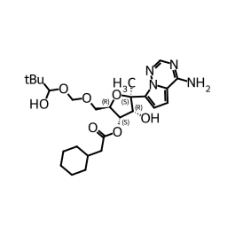 CC(C)(C)C(O)OCOC[C@H]1O[C@@](C)(c2ccc3c(N)ncnn23)[C@H](O)[C@@H]1OC(=O)CC1CCCCC1